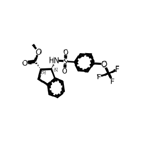 COC(=O)[C@H]1Cc2ccccc2[C@H]1NS(=O)(=O)c1ccc(OC(F)(F)F)cc1